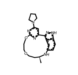 C[C@H]1CCOCCOc2nc(cc(N3CCCC3)n2)-c2n[nH]c3ccc(cc23)N1